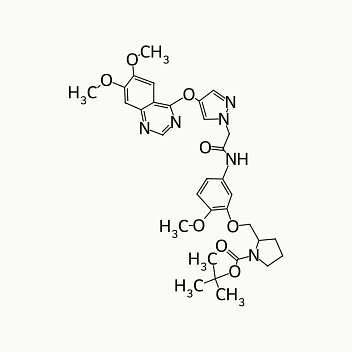 COc1cc2ncnc(Oc3cnn(CC(=O)Nc4ccc(OC)c(OCC5CCCN5C(=O)OC(C)(C)C)c4)c3)c2cc1OC